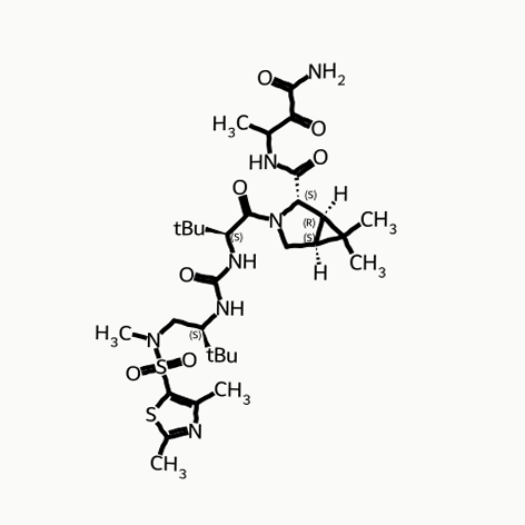 Cc1nc(C)c(S(=O)(=O)N(C)C[C@@H](NC(=O)N[C@H](C(=O)N2C[C@H]3[C@@H]([C@H]2C(=O)NC(C)C(=O)C(N)=O)C3(C)C)C(C)(C)C)C(C)(C)C)s1